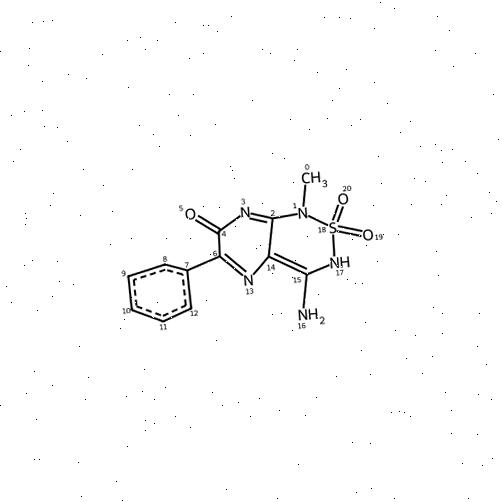 CN1C2=NC(=O)C(c3ccccc3)=NC2=C(N)NS1(=O)=O